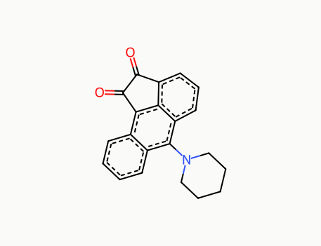 O=C1C(=O)c2c3ccccc3c(N3CCCCC3)c3cccc1c23